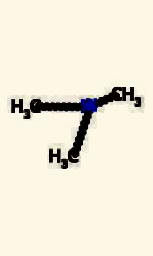 CCCCCCCCCCCCCCCCCCc1n(CCCCCCCCCC)cc[n+]1CCCCCCCCCCCCCCCCCC